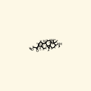 CN[C@H]1CCC23[C@@H](C)[C@]24CC[C@]2(C)C(C(=O)COC)=CC[C@@]2(C)[C@@H]4CC[C@H]3C1(C)C